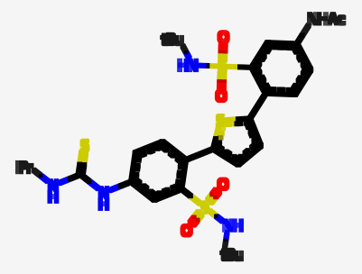 CC(=O)Nc1ccc(-c2ccc(-c3ccc(NC(=S)NC(C)C)cc3S(=O)(=O)NC(C)(C)C)s2)c(S(=O)(=O)NC(C)(C)C)c1